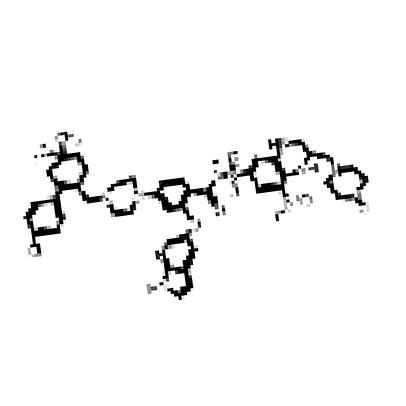 CN1CCN(CC2CNc3cc(S(=O)(=O)NC(=O)c4ccc(N5CCN(CC6=C(c7ccc(Cl)cc7)CC(C)(C)CC6)CC5)cc4Oc4cnc5[nH]ccc5c4)cc([N+](=O)[O-])c3N2)CC1